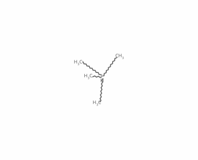 CCCCCCCCCCCCCC[PH](CCCCCC)(CCCCCCCCCCCCCC)CCCCCCCCCCCCCC